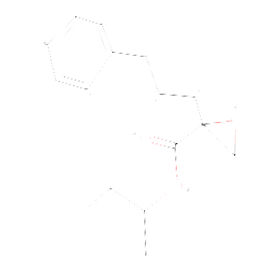 CCC(C)OC(=O)C1(CCCc2ccccc2)CO1